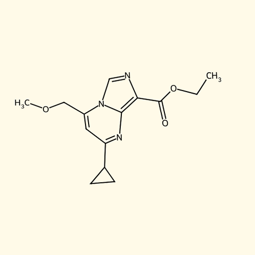 CCOC(=O)c1ncn2c(COC)cc(C3CC3)nc12